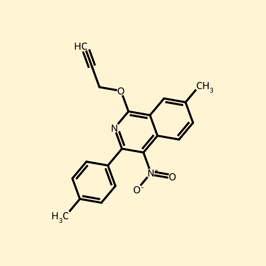 C#CCOc1nc(-c2ccc(C)cc2)c([N+](=O)[O-])c2ccc(C)cc12